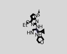 CCOc1nc(N/C(C=N)=C(/NC2CCOCC2)C2CC2)nc2c1ccn2SI